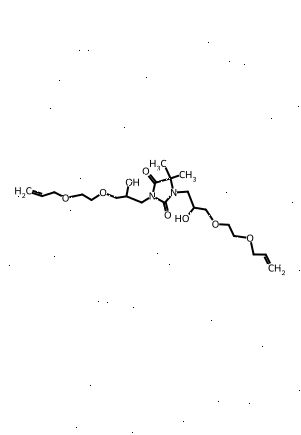 C=CCOCCOCC(O)CN1C(=O)N(CC(O)COCCOCC=C)C(C)(C)C1=O